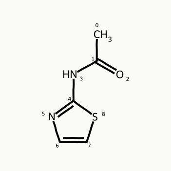 CC(=O)Nc1nc[c]s1